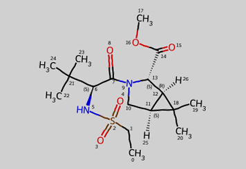 CCS(=O)(=O)N[C@H](C(=O)N1C[C@H]2[C@@H]([C@H]1C(=O)OC)C2(C)C)C(C)(C)C